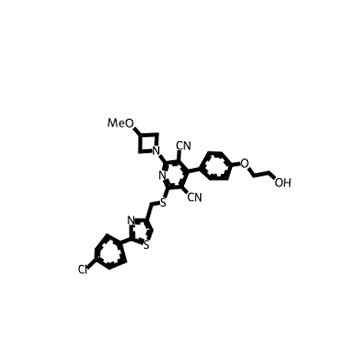 COC1CN(c2nc(SCc3csc(-c4ccc(Cl)cc4)n3)c(C#N)c(-c3ccc(OCCO)cc3)c2C#N)C1